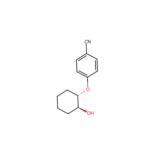 N#Cc1ccc(O[C@H]2CCCC[C@@H]2O)cc1